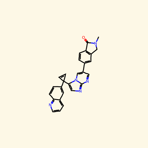 CN1Cc2cc(-c3cnc4ncc(C5(c6ccc7ncccc7c6)C=C5)n4c3)ccc2C1=O